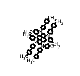 Cc1ccc(-c2ccc(N(C3=CC(N(c4ccc(C)cc4)c4ccc(-c5ccc(C)cc5)cc4)c4ccc5c(N(c6ccc(C)cc6)c6ccc(-c7ccc(C)cc7)cc6)cc(N(c6ccc(C)cc6)c6ccc(-c7ccc(C)cc7)cc6)c6c5c4C3=CC6)c3ccc(C)cc3)cc2)cc1